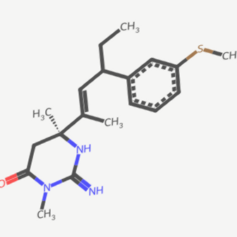 CCC(/C=C(\C)[C@]1(C)CC(=O)N(C)C(=N)N1)c1cccc(SC)c1